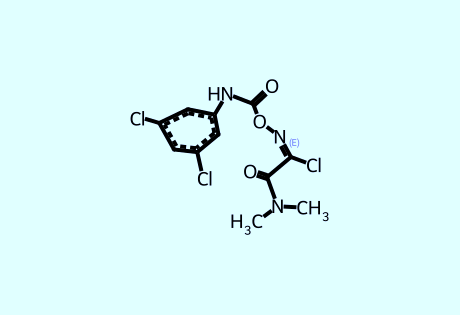 CN(C)C(=O)/C(Cl)=N\OC(=O)Nc1cc(Cl)cc(Cl)c1